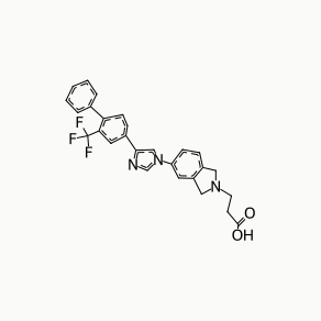 O=C(O)CCN1Cc2ccc(-n3cnc(-c4ccc(-c5ccccc5)c(C(F)(F)F)c4)c3)cc2C1